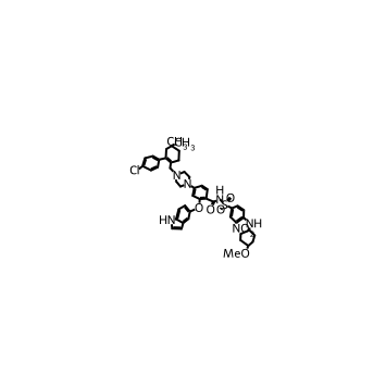 COC1CCC(Nc2ccc(S(=O)(=O)NC(=O)c3ccc(N4CCN(CC5=C(c6ccc(Cl)cc6)CC(C)(C)CC5)CC4)cc3Oc3ccc4[nH]ccc4c3)cc2[N+](=O)[O-])CC1